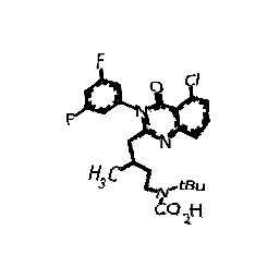 CC(CCN(C(=O)O)C(C)(C)C)Cc1nc2cccc(Cl)c2c(=O)n1-c1cc(F)cc(F)c1